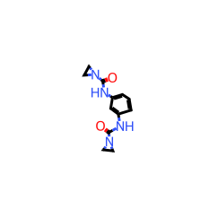 O=C(Nc1cccc(NC(=O)N2CC2)c1)N1CC1